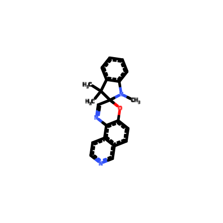 CN1c2ccccc2C(C)(C)C12C=Nc1c(ccc3cnccc13)O2